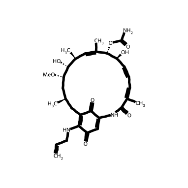 C=CCNC1=C2C[C@@H](C)C[C@H](OC)[C@H](O)[C@@H](C)/C=C(/C)[C@H](OC(N)=O)[C@@H](O)/C=C\C=C(\C)C(=O)NC(=CC1=O)C2=O